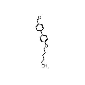 CCCCCCOc1ccc(-c2ccc(C=O)cc2)cc1